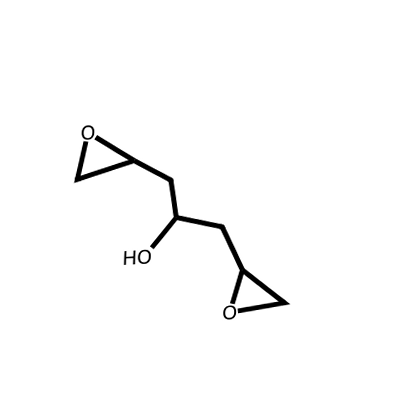 OC(CC1CO1)CC1CO1